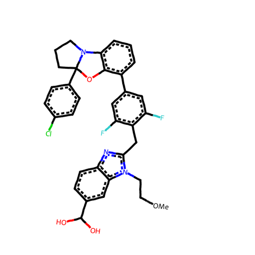 COCCn1c(Cc2c(F)cc(-c3cccc4c3OC3(c5ccc(Cl)cc5)CCCN43)cc2F)nc2ccc(C(O)O)cc21